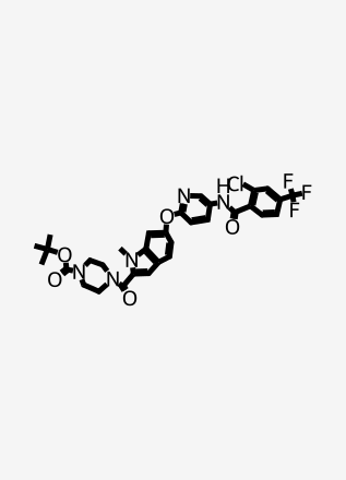 Cn1c(C(=O)N2CCN(C(=O)OC(C)(C)C)CC2)cc2ccc(Oc3ccc(NC(=O)c4ccc(C(F)(F)F)cc4Cl)cn3)cc21